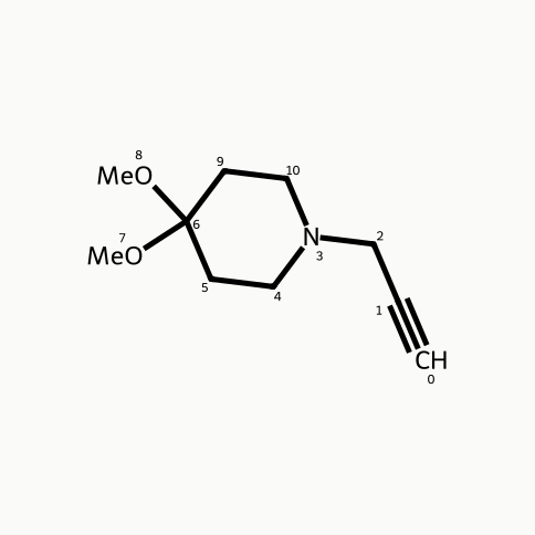 C#CCN1CCC(OC)(OC)CC1